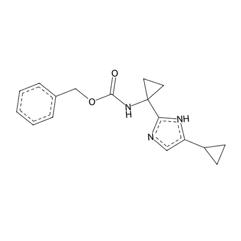 O=C(NC1(c2ncc(C3CC3)[nH]2)CC1)OCc1ccccc1